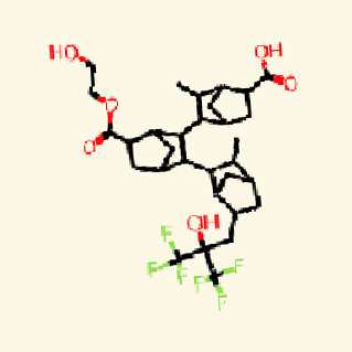 CC1C2CC(CC2C(=O)O)C1C1C2CC(CC2C(=O)OCCO)C1C1C(C)C2CC(CC(O)(C(F)(F)F)C(F)(F)F)C1C2